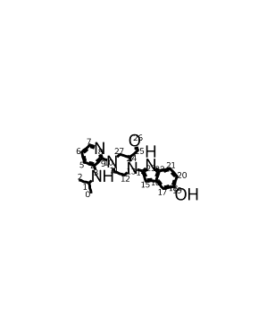 CC(C)Nc1cccnc1N1CCN(c2cc3cc(O)ccc3[nH]2)C(C=O)C1